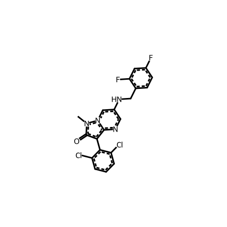 Cn1c(=O)c(-c2c(Cl)cccc2Cl)c2ncc(NCc3ccc(F)cc3F)cn21